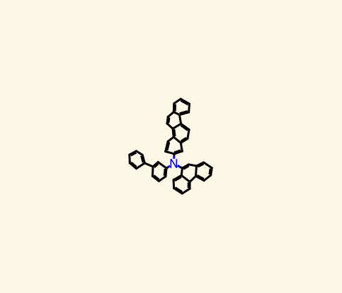 c1ccc(-c2cccc(N(c3ccc4c(ccc5c6ccccc6ccc45)c3)c3cc4ccccc4c4ccccc34)c2)cc1